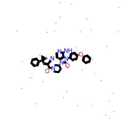 N#CC(=CC1(c2ccccc2)CC1)C(=O)N1CCC[C@@H](n2c(=O)n(-c3ccc(Oc4ccccc4)cc3)c3c(N)nccc32)C1